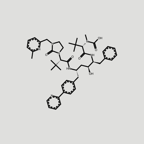 Cc1cccc(CN2CCN([C@H](C(=O)N[C@@H](Cc3ccc(-c4ccccn4)cc3)C[C@H](O)[C@H](Cc3ccccc3)NC(=O)[C@@H](N(C)C(=O)O)C(C)(C)C)C(C)(C)C)C2=O)n1